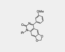 COc1cccc(-c2nc(=O)n(C(C)C)c3cc4c(cc23)OCO4)c1